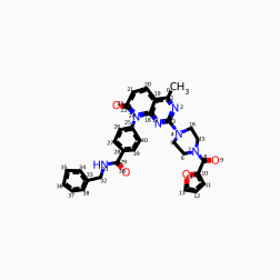 Cc1nc(N2CCN(C(=O)c3ccco3)CC2)nc2c1ccc(=O)n2-c1ccc(C(=O)NCc2ccccc2)cc1